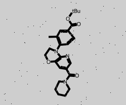 Cc1cc(C(=O)OC(C)(C)C)ccc1N1CCOc2cc(C(=O)N3CCCCC3)cnc21